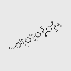 Cc1ccc(C(C)(C)c2ccc(C(C)(C)c3ccc(N4C(=O)C5CC6C(=O)N(C)C(=O)C6CC5C4=O)cc3)cc2)cc1